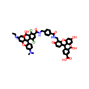 CC/N=c1\ccc2c(-c3c(Cl)cc(C(=O)NCc4ccc(C(=O)NCc5c6oc7cc(O)ccc7c(-c7ccc(C(=O)O)cc7C(=O)O)c-6ccc5=O)cc4)c(Cl)c3C(=O)O)c3ccc(N(C)C)cc3oc-2c1